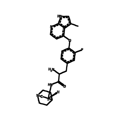 Cc1c[nH]c2nccc(Oc3ccc(CC(N)C(=O)N[C@H]4CN5CCC4CC5)cc3F)c12